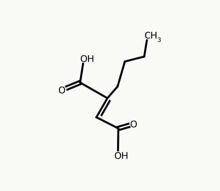 CCCC/C(=C\C(=O)O)C(=O)O